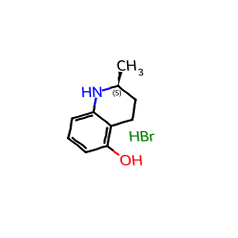 Br.C[C@H]1CCc2c(O)cccc2N1